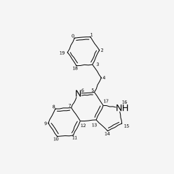 c1ccc(Cc2nc3ccccc3c3cc[nH]c23)cc1